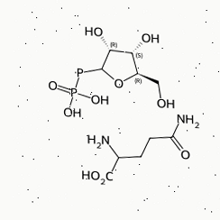 NC(=O)CCC(N)C(=O)O.O=P(O)(O)[P]C1O[C@H](CO)[C@@H](O)[C@H]1O